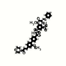 COC(=O)[C@H](CSc1ccccc1)Nc1ccc(S(=O)(=O)NC(=O)c2ccc(-c3ccc(CCC(=O)N4CCOCC4)cc3OC)cc2)cc1[N+](=O)[O-]